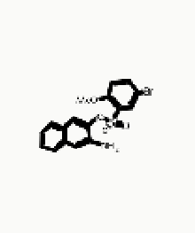 COc1ccc(Br)cc1S(=O)(=O)Oc1cc2ccccc2cc1N